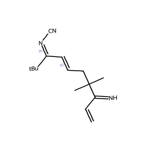 C=CC(=N)C(C)(C)C/C=C/C(=N\C#N)C(C)(C)C